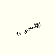 CCCCCC1=CC2CCC(C3CCC(C4CCC(CCC(CO)COC(=O)C(C)=O)CC4)CC3)CC2C=C1